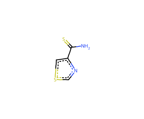 NC(=S)c1cscn1